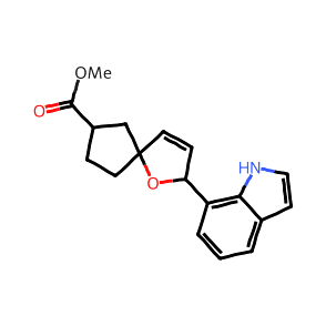 COC(=O)C1CCC2(C=CC(c3cccc4cc[nH]c34)O2)C1